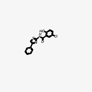 O=C(Nc1nc(-c2ccccc2)cs1)c1cc(Cl)ccc1O